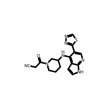 N#CCC(=O)N1CCCC(Nc2c(-c3nncs3)cnc3[nH]ccc23)C1